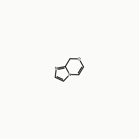 C1=Cn2ccnc2CO1